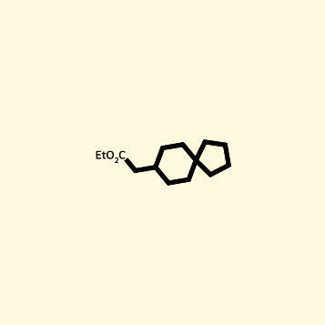 CCOC(=O)CC1CCC2(CCCC2)CC1